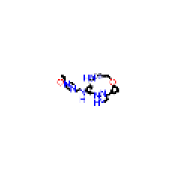 C=CC(=O)N1CCN(CCNc2cc3cc(c2)Nc2nccc(n2)-c2cccc(c2)OCC/C=C/CNC3)CC1